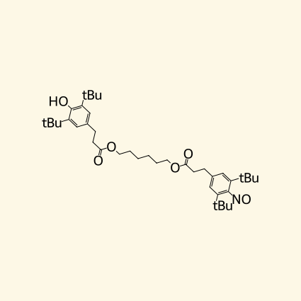 CC(C)(C)c1cc(CCC(=O)OCCCCCCOC(=O)CCc2cc(C(C)(C)C)c(N=O)c(C(C)(C)C)c2)cc(C(C)(C)C)c1O